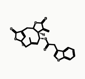 C=C1C(=O)OC2CC3=C[C@@H](C/C(C)=C/[C@@H](OC(=O)Cc4coc5ccccc45)[C@H]12)OC3=O